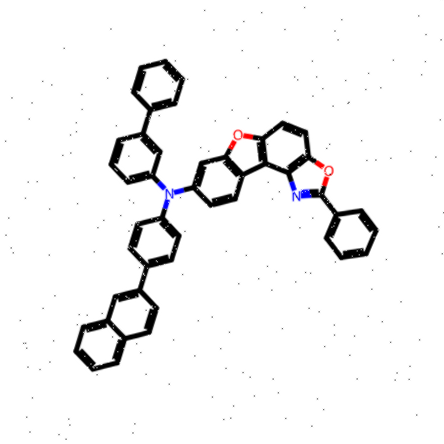 c1ccc(-c2cccc(N(c3ccc(-c4ccc5ccccc5c4)cc3)c3ccc4c(c3)oc3ccc5oc(-c6ccccc6)nc5c34)c2)cc1